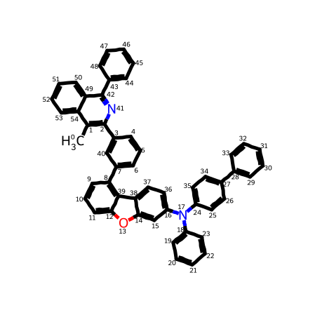 Cc1c(-c2cccc(-c3cccc4oc5cc(N(c6ccccc6)c6ccc(-c7ccccc7)cc6)ccc5c34)c2)nc(-c2ccccc2)c2ccccc12